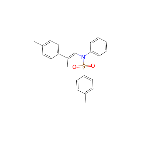 CC(=CN(c1ccccc1)S(=O)(=O)c1ccc(C)cc1)c1ccc(C)cc1